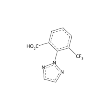 O=C(O)c1cccc(C(F)(F)F)c1-n1nccn1